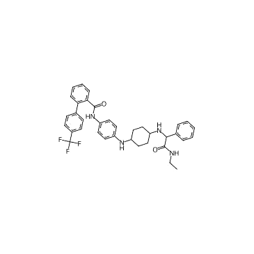 CCNC(=O)C(NC1CCC(Nc2ccc(NC(=O)c3ccccc3-c3ccc(C(F)(F)F)cc3)cc2)CC1)c1ccccc1